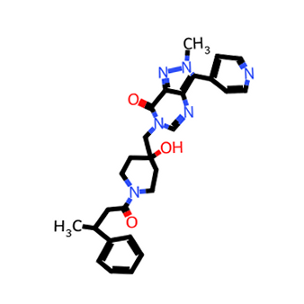 CC(CC(=O)N1CCC(O)(Cn2cnc3c(-c4ccncc4)n(C)nc3c2=O)CC1)c1ccccc1